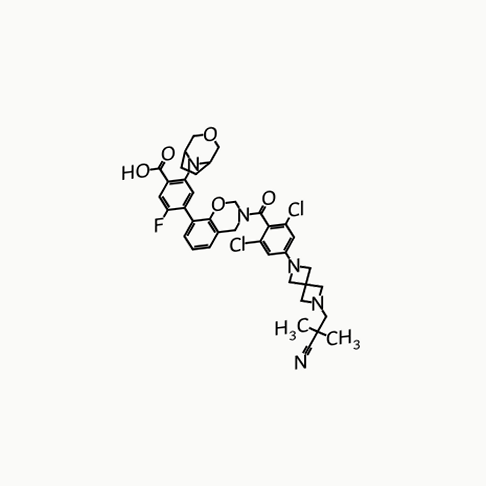 CC(C)(C#N)CN1CC2(C1)CN(c1cc(Cl)c(C(=O)N3COc4c(cccc4-c4cc(N5C6CCC5COC6)c(C(=O)O)cc4F)C3)c(Cl)c1)C2